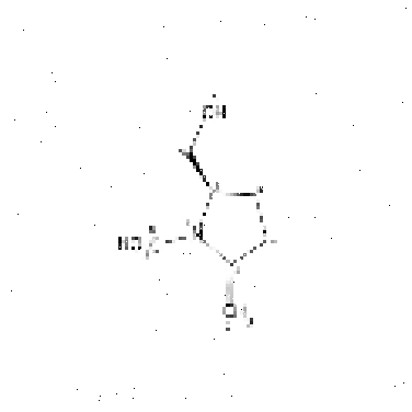 C[C@H]1CC[C@H](CO)N1C(=O)O